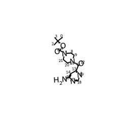 CC(C)(C)OC(=O)N1CCN(C(=O)c2cc(N)ncn2)CC1